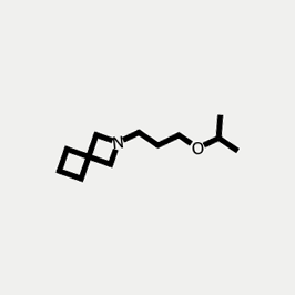 CC(C)OCCCN1CC2(CCC2)C1